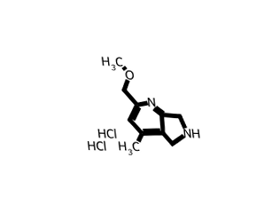 COCc1cc(C)c2c(n1)CNC2.Cl.Cl